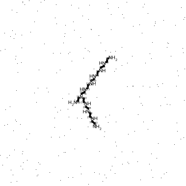 NCCNCCNCCNCCNCCNCCN(CCN)CCNCCNCCNCCN